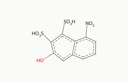 O=[N+]([O-])c1cccc2cc(O)c(S(=O)(=O)O)c(S(=O)(=O)O)c12